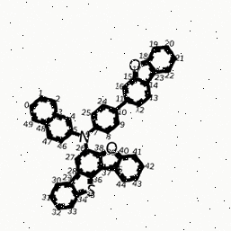 c1ccc2cc(N(c3ccc(-c4ccc5c(c4)oc4ccccc45)cc3)c3cc4c5ccccc5sc4c4c3oc3ccccc34)ccc2c1